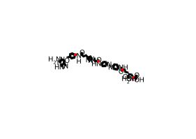 Nc1nc(OCc2ccc(CNC(=O)CCc3cn(CCC(=O)Nc4ccc(N=Nc5ccc(NC(=O)CCC[C@@H](C[C@H](N)C(=O)O)C(=O)O)cc5)cc4)nn3)cc2)c2nc[nH]c2n1